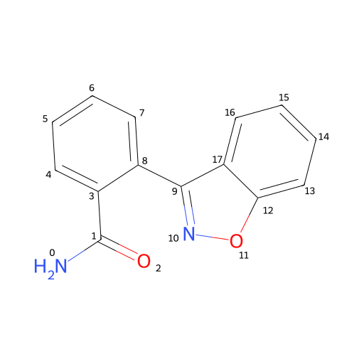 NC(=O)c1ccccc1-c1noc2ccccc12